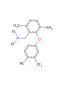 CCN(CC)Cc1c(C)ccc(C)c1Oc1ccc(C#N)c(C(F)(F)F)c1